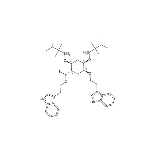 CC(C)C(C)(C)[SiH2]O[C@H]1C[C@@H](O[SiH2]C(C)(C)C(C)C)[C@@H](OCCc2c[nH]c3ccccc23)O[C@@H]1C(I)OCCc1c[nH]c2ccccc12